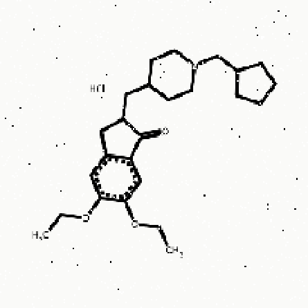 CCOc1cc2c(cc1OCC)C(=O)C(CC1CCN(CC3CCCC3)CC1)C2.Cl